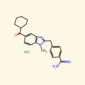 Cl.Cn1c(Cc2ccc(C(=N)N)cc2)nc2cc(C(=O)C3CCCCC3)ccc21